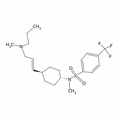 CCCN(C)C/C=C/[C@H]1CC[C@H](N(C)S(=O)(=O)c2ccc(C(F)(F)F)cc2)CC1